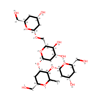 CC(C)C1O[C@H](CO)C[C@H](O[C@H]2C[C@@H](O)[C@H](O)[C@@H](CO[C@H]3C[C@@H](O)C[C@@H](CO)O3)O2)[C@H]1O[C@H]1C[C@@H](O)C[C@@H](CO)O1